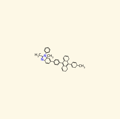 CC1=NC2C=CC(c3ccc(C4=C5C=CCCC5=C(C5=CCC(C)C=C5)C5CC=CC=C45)cc3)=C[C@@]2(C)N1c1ccccc1